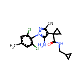 N#Cc1nn(-c2c(Cl)cc(C(F)(F)F)cc2Cl)c(N)c1C1(C(=O)NCC2CC2)CC1